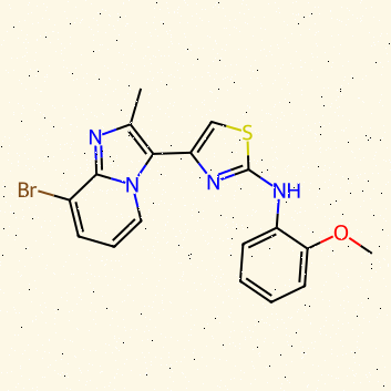 COc1ccccc1Nc1nc(-c2c(C)nc3c(Br)cccn23)cs1